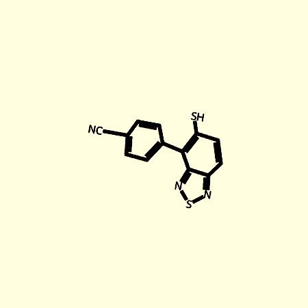 N#Cc1ccc(-c2c(S)ccc3nsnc23)cc1